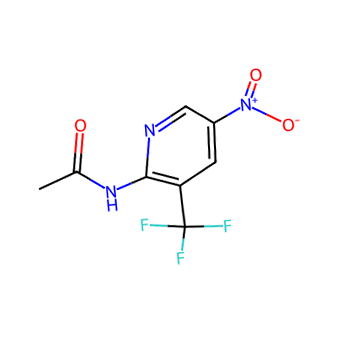 CC(=O)Nc1ncc([N+](=O)[O-])cc1C(F)(F)F